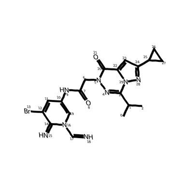 CC(C)c1nn(CC(=O)Nc2cc(Br)c(=N)n(C=N)c2)c(=O)c2cc(C3CC3)nn12